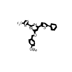 COc1ccc(COc2cc(-c3ccc(-c4ccccc4)s3)nc(-c3nc(C(F)(F)F)cs3)n2)cc1